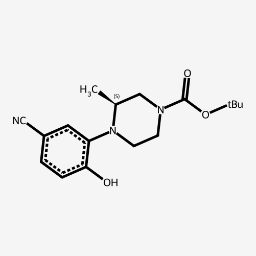 C[C@H]1CN(C(=O)OC(C)(C)C)CCN1c1cc(C#N)ccc1O